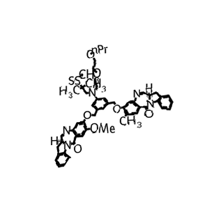 CCCOCCOCCN(CC(C)(C)S(C)=S)c1cc(COc2cc3c(cc2C)C(=O)N2c4ccccc4C[C@H]2C=N3)cc(COc2cc3c(cc2OC)C(=O)N2c4ccccc4C[C@H]2C=N3)c1